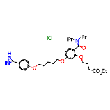 CCOC(=O)CCCOc1cc(OCCCCCOc2ccc(C3NN3)cc2)ccc1C(=O)N(C(C)C)C(C)C.Cl